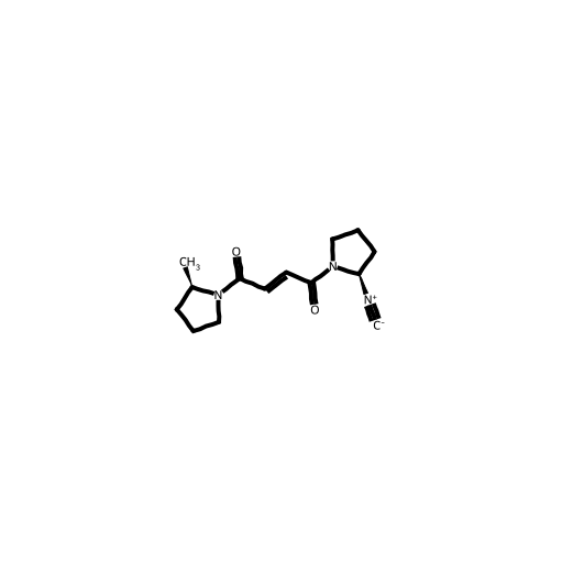 [C-]#[N+][C@@H]1CCCN1C(=O)/C=C/C(=O)N1CCC[C@H]1C